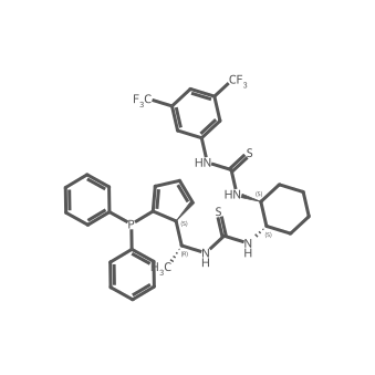 C[C@@H](NC(=S)N[C@H]1CCCC[C@@H]1NC(=S)Nc1cc(C(F)(F)F)cc(C(F)(F)F)c1)[C@@H]1C=CC=C1P(c1ccccc1)c1ccccc1